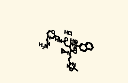 Cc1nc(CCN(C(=O)C(CC(=O)NCC2CN(C=NN)CCO2)NS(=O)(=O)c2ccc3ccccc3c2)C2CC2)no1.Cl